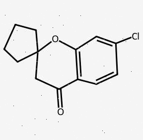 O=C1CC2(CCCC2)Oc2cc(Cl)ccc21